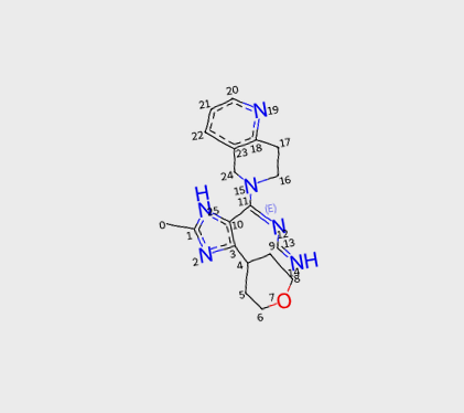 Cc1nc(C2CCOCC2)c(/C(=N\C=N)N2CCc3ncccc3C2)[nH]1